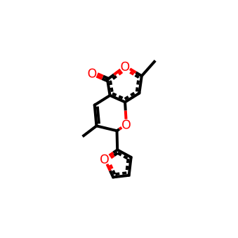 CC1=Cc2c(cc(C)oc2=O)OC1c1ccco1